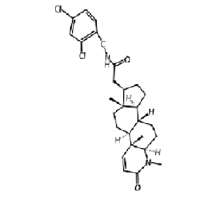 CN1C(=O)C=C[C@]2(C)[C@H]3CC[C@]4(C)[C@@H](CC(=O)NCc5ccc(Cl)cc5Cl)CC[C@H]4[C@@H]3CC[C@@H]12